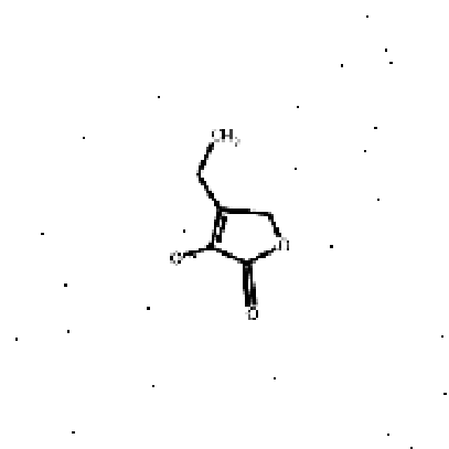 CCC1=C(O)C(=O)OC1